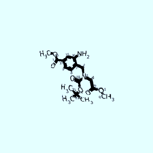 COC(=O)CN(Cc1ccc(C(=O)OC)cc1N)C(=O)OC(C)(C)C